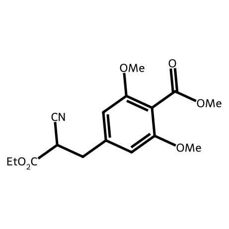 CCOC(=O)C(C#N)Cc1cc(OC)c(C(=O)OC)c(OC)c1